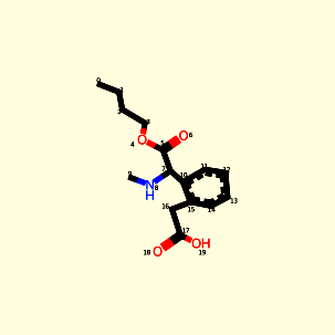 CCCCOC(=O)C(NC)c1ccccc1CC(=O)O